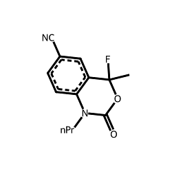 CCCN1C(=O)OC(C)(F)c2cc(C#N)ccc21